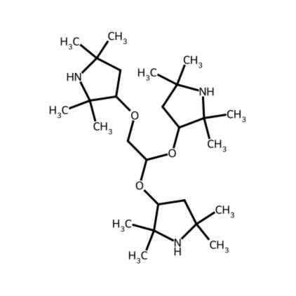 CC1(C)CC(OCC(OC2CC(C)(C)NC2(C)C)OC2CC(C)(C)NC2(C)C)C(C)(C)N1